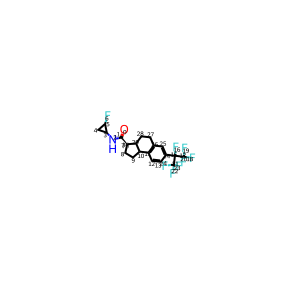 O=C(NC1CC1F)[C@@H]1CCC2c3ccc(C(F)(C(F)(F)F)C(F)(F)F)cc3CCC21